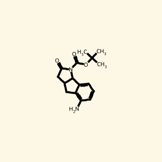 CC(C)(C)OC(=O)N1C(=O)CC2Cc3c(N)cccc3C21